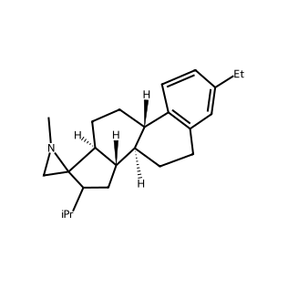 CCc1ccc2c(c1)CC[C@H]1[C@@H]3CC(C(C)C)C4(CN4C)[C@H]3CC[C@H]21